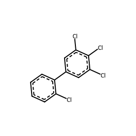 Clc1ccccc1-c1cc(Cl)c(Cl)c(Cl)c1